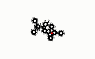 CC1C=Cc2c(c3c(ccc4c5ccccc5n(-c5ccccc5-c5cc(-c6ccccc6)cc(-c6ccccc6)c5)c43)n2-c2nc(-c3ccccc3)nc(-c3ccccc3)n2)C1